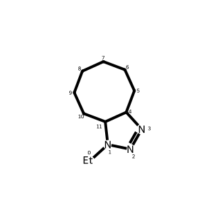 CCN1N=NC2CCCCCCC21